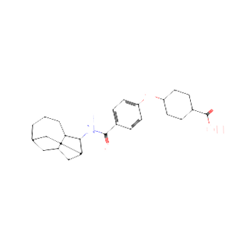 O=C(NC1C2CC3CCCC1C(C3)C2)c1ccc(OC2CCC(C(=O)O)CC2)cc1